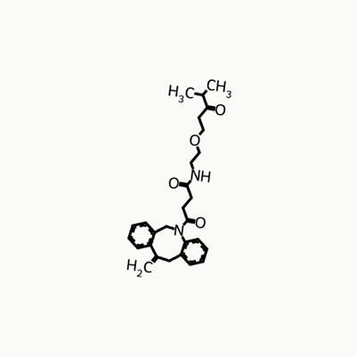 C=C1Cc2ccccc2N(C(=O)CCC(=O)NCCOCCC(=O)C(C)C)Cc2ccccc21